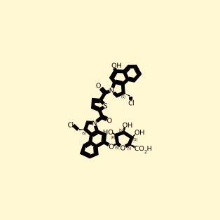 O=C(O)[C@H]1O[C@@H](Oc2cc3c(c4ccccc24)[C@H](CCl)CN3C(=O)c2ccc(C(=O)N3C[C@@H](CCl)c4c3cc(O)c3ccccc43)s2)[C@H](O)[C@@H](O)[C@@H]1O